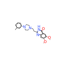 COc1cc2nc(CCN3CCN(c4cccc(C)c4)CC3)[nH]c(=O)c2cc1OC